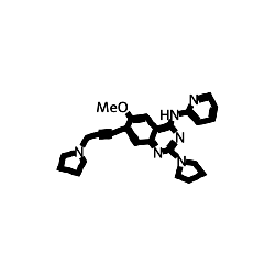 COc1cc2c(Nc3ccccn3)nc(N3CCCC3)nc2cc1C#CCN1CCCC1